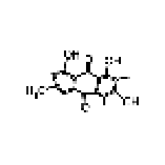 Cc1cc(O)c2c(c1)C(=O)c1c(I)c(O)c(I)c(O)c1C2=O